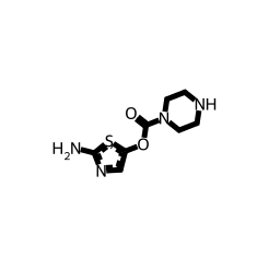 Nc1ncc(OC(=O)N2CCNCC2)s1